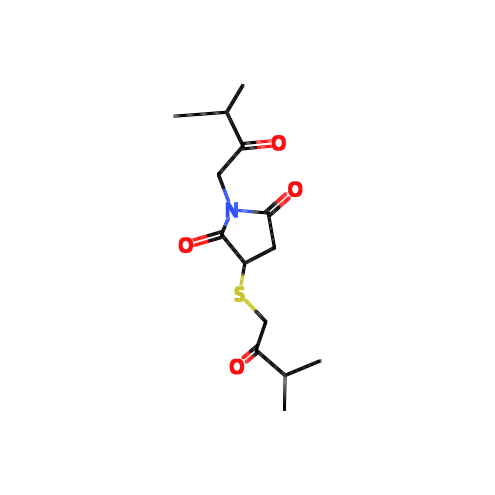 CC(C)C(=O)CSC1CC(=O)N(CC(=O)C(C)C)C1=O